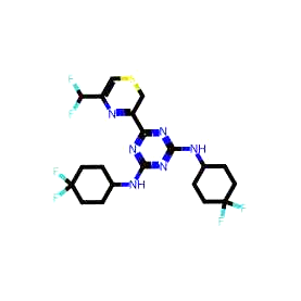 FC(F)C1=CSCC(c2nc(NC3CCC(F)(F)CC3)nc(NC3CCC(F)(F)CC3)n2)=N1